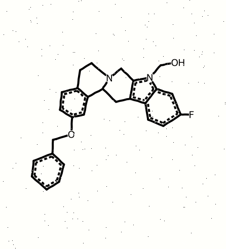 OCn1c2c(c3ccc(F)cc31)CC1c3cc(OCc4ccccc4)ccc3CCN1C2